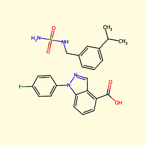 CC(C)c1cccc(CNS(N)(=O)=O)c1.O=C(O)c1cccc2c1cnn2-c1ccc(F)cc1